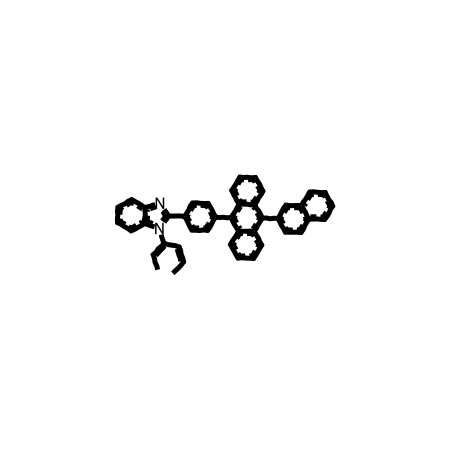 C/C=C\C(=C/C)n1c(-c2ccc(-c3c4ccccc4c(-c4ccc5ccccc5c4)c4ccccc34)cc2)nc2ccccc21